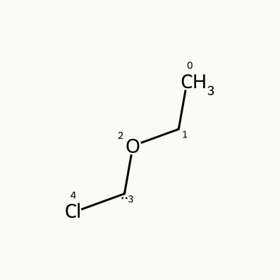 CCO[C]Cl